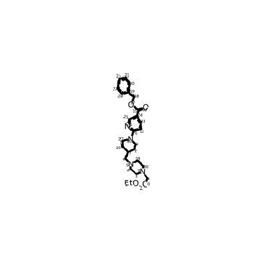 CCOC(=O)CN1CCN(CC2CCN(c3ccc(C(=O)OCc4ccccc4)cn3)CC2)CC1